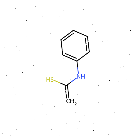 C=C(S)Nc1ccccc1